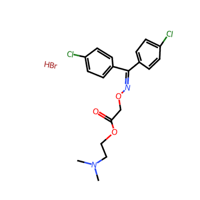 Br.CN(C)CCOC(=O)CON=C(c1ccc(Cl)cc1)c1ccc(Cl)cc1